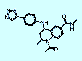 CNC(=O)c1ccc2c(c1)C(Nc1ccc(-c3cnns3)cc1)CC(C)N2C(C)=O